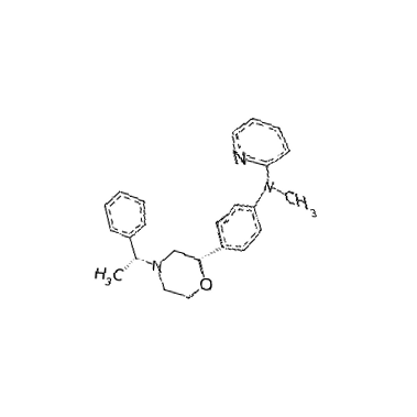 C[C@H](c1ccccc1)N1CCO[C@@H](c2ccc(N(C)c3ccccn3)cc2)C1